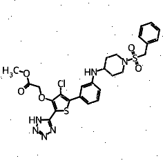 COC(=O)COc1c(-c2nnn[nH]2)sc(-c2cccc(NC3CCN(S(=O)(=O)Cc4ccccc4)CC3)c2)c1Cl